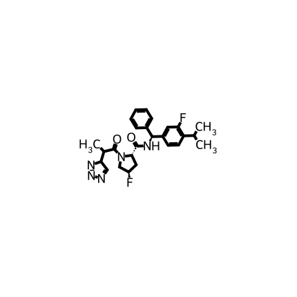 CC(C)c1ccc([C@@H](NC(=O)[C@@H]2C[C@@H](F)CN2C(=O)C(C)C2C=NN=N2)c2ccccc2)cc1F